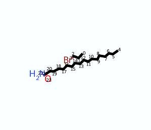 CCCBr.CCCCCCCCCCCCCCCCCC(N)=O